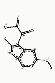 COc1ccc2[nH]c(C)c(C(=O)C(=O)Cl)c2c1